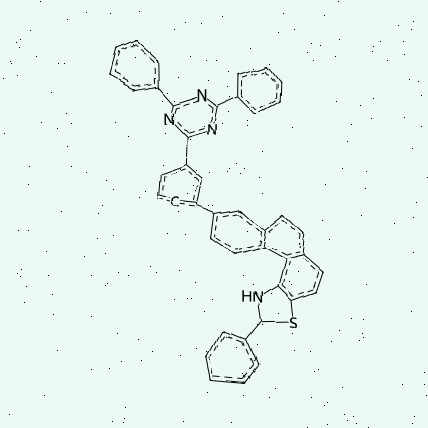 c1ccc(-c2nc(-c3ccccc3)nc(-c3cccc(-c4ccc5c(ccc6ccc7c(c65)NC(c5ccccc5)S7)c4)c3)n2)cc1